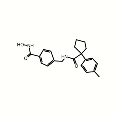 Cc1ccc(C2(C(=O)NCc3ccc(C(=O)NO)cc3)CCCC2)cc1